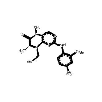 COc1cc(N)ccc1Nc1ncc2c(n1)N(CC(C)(C)C)[C@H](C)C(=O)N2C